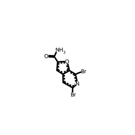 NC(=O)c1cc2cc(Br)nc(Br)c2o1